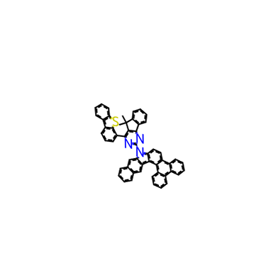 CC1(C)c2ccccc2-c2nc(-n3c4cc5ccccc5cc4c4c5c6ccccc6c6ccccc6c5ccc43)nc(-c3cccc4c3sc3ccccc34)c21